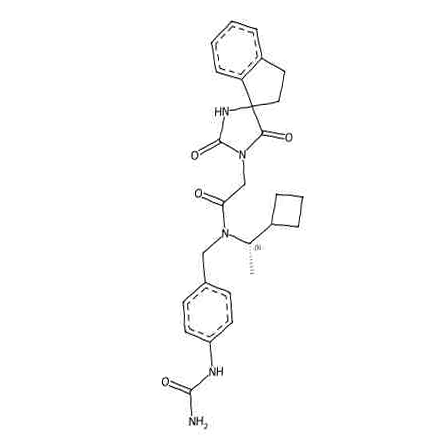 C[C@@H](C1CCC1)N(Cc1ccc(NC(N)=O)cc1)C(=O)CN1C(=O)NC2(CCc3ccccc32)C1=O